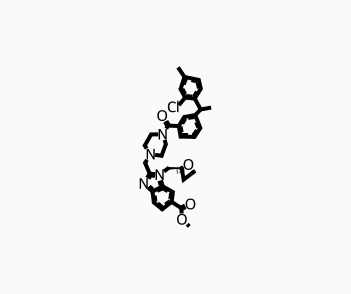 COC(=O)c1ccc2nc(CN3CCN(C(=O)c4cccc(C(C)c5ccc(C)cc5Cl)c4)CC3)n(C[C@@H]3CCO3)c2c1